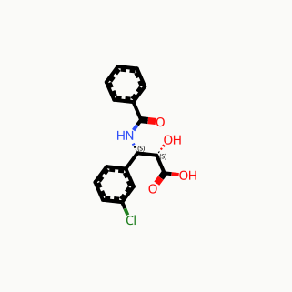 O=C(N[C@@H](c1cccc(Cl)c1)[C@H](O)C(=O)O)c1ccccc1